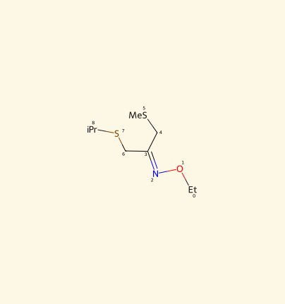 CCO/N=C(\CSC)CSC(C)C